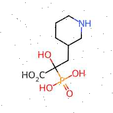 O=C(O)C(O)(CC1CCCNC1)P(=O)(O)O